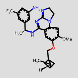 COc1cc2c(cc1OCC13CC(C1)[C@@H]3C)C(N[C@H](C)c1cc(N)cc(C(F)(F)F)c1)=NC1=NCCN12